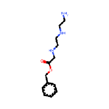 NCCNCCNCC(=O)OCc1ccccc1